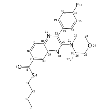 CCCCSC(=O)c1ccc2nc(-c3ccc(F)cc3)c(N3CCOC[C@@H]3C)nc2c1